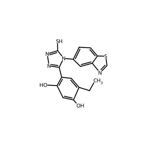 CCc1cc(-c2nnc(S)n2-c2ccc3scnc3c2)c(O)cc1O